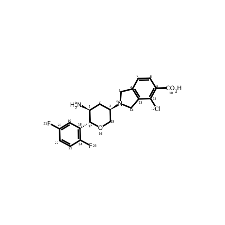 N[C@H]1C[C@@H](N2Cc3ccc(C(=O)O)c(Cl)c3C2)CO[C@@H]1c1cc(F)ccc1F